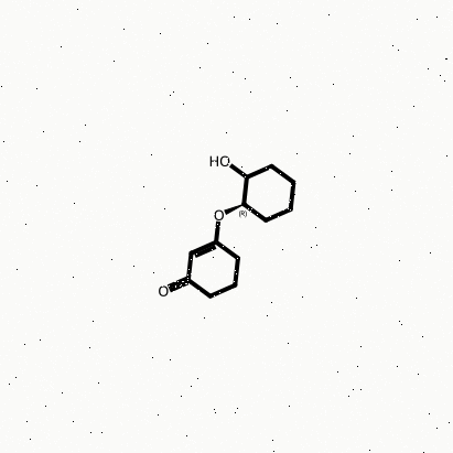 O=C1C=C(O[C@@H]2CCCCC2O)CCC1